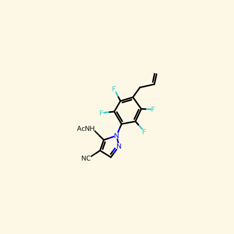 C=CCc1c(F)c(F)c(-n2ncc(C#N)c2NC(C)=O)c(F)c1F